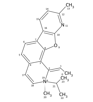 C/C=C1/c2c(ccc3c2oc2nc(C)ccc23)C=C[N@+]1(C)C(C)C